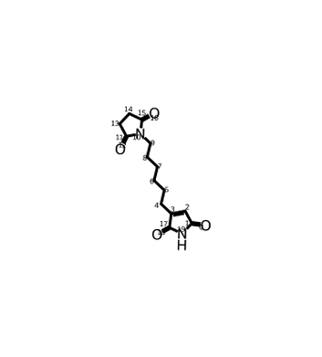 O=C1C=C(CCCCCCN2C(=O)CCC2=O)C(=O)N1